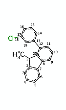 CC1c2ccccc2-c2cccc(-c3cccc(Cl)c3)c21